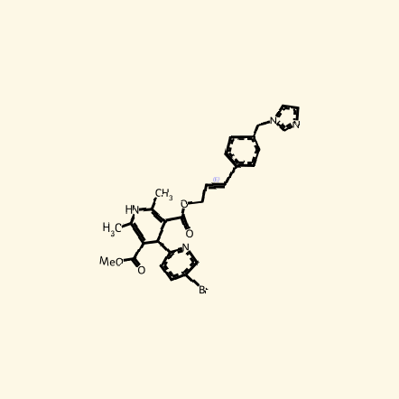 COC(=O)C1=C(C)NC(C)=C(C(=O)OC/C=C/c2ccc(Cn3ccnc3)cc2)C1c1ccc(Br)cn1